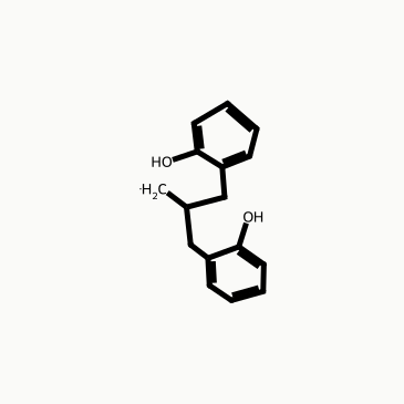 [CH2]C(Cc1ccccc1O)Cc1ccccc1O